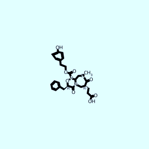 CN1CC2N(C[C@@H](CCC(=O)O)C1=O)C(=O)[C@@H](Cc1ccccc1)ON2C(=O)OCCc1ccc(O)cc1